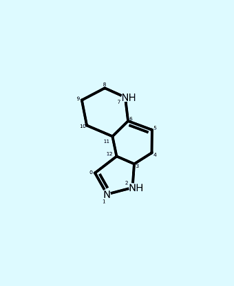 C1=NNC2CC=C3NCCCC3C12